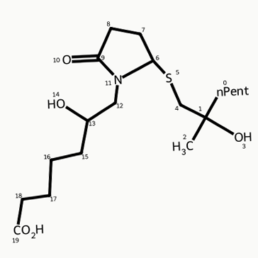 CCCCCC(C)(O)CSC1CCC(=O)N1CC(O)CCCCC(=O)O